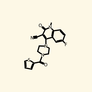 Cn1c(=O)c(C#N)c(N2CCN(C(=O)c3cccs3)CC2)c2cc(F)ccc21